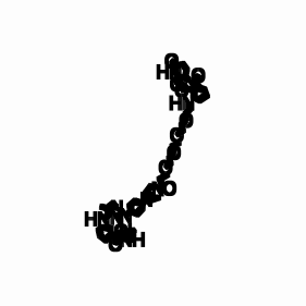 Cc1cnc(Nc2ccc(N3CCN(C(=O)CCOCCOCCOCCOCCNc4cccc5c4C(=O)N(C4CCC(=O)NC4=O)C5=O)CC3)cc2)nc1Nc1cccc(S(=O)(=O)NC(C)(C)C)c1